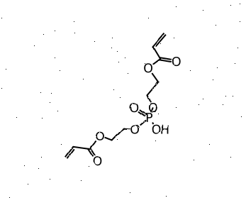 C=CC(=O)OCCOP(=O)(O)OCCOC(=O)C=C